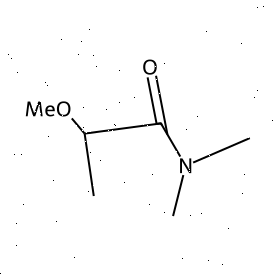 COC(C)C(=O)N(C)C